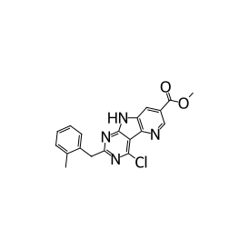 COC(=O)c1cnc2c(c1)[nH]c1nc(Cc3ccccc3C)nc(Cl)c12